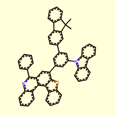 CC1(C)c2ccccc2-c2ccc(-c3cc(-c4cc5c(-c6ccccc6)nc6ccccc6c5c5c4sc4ccccc45)cc(-n4c5ccccc5c5ccccc54)c3)cc21